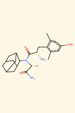 Cc1cc(O)cc(C)c1C[C@H](N)C(=O)N(C1C2CC3CC(C2)CC1C3)[C@H](C)C(N)=O